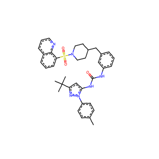 Cc1ccc(-n2nc(C(C)(C)C)cc2NC(=O)Nc2cccc(CC3CCN(S(=O)(=O)c4cccc5cccnc45)CC3)c2)cc1